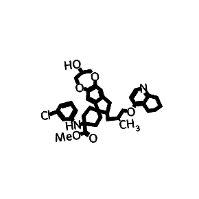 COC(=O)C1(Nc2cccc(Cl)c2)CCC2(CC1)c1cc3c(cc1CC2C[C@@H](C)COc1ccnc2c1CCCC2)OCC(O)CO3